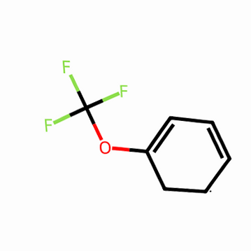 FC(F)(F)OC1=CC=C[CH]C1